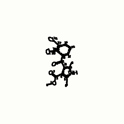 COC(=O)c1c(C)[nH]c(C)c1C(=O)c1cccc(Cl)c1Cl